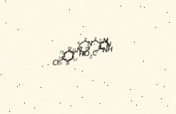 O=C(O)c1[nH]nnc1CN1CCN(c2ccc(Cl)cc2)CC1